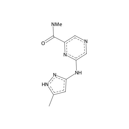 CNC(=O)c1cncc(Nc2cc(C)[nH]n2)n1